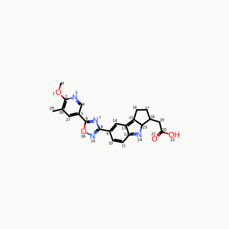 COc1ncc(-c2nc(-c3ccc4c(c3)=C3CCC(CC(=O)O)C3N=4)no2)cc1C